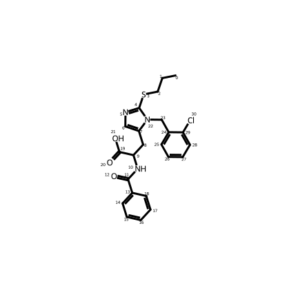 CCCSc1ncc(CC(NC(=O)c2ccccc2)C(=O)O)n1Cc1ccccc1Cl